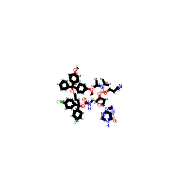 COc1ccc(C(OCCCC(OC(=O)NC[C@H]2O[C@@H](n3cnc4c(=O)[nH]cnc43)CC2OP(OCCC#N)N(C(C)C)C(C)C)(c2ccc(Cl)cc2)c2ccc(Cl)cc2)(c2ccccc2)c2ccc(OC)cc2)cc1